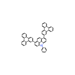 c1ccc(-n2c3ccc(-c4ccc5c6ccccc6c6ccccc6c5c4)c4ccc5c(-c6ccc7c8ccccc8c8ccccc8c7c6)ccc2c5c43)cc1